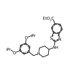 CCOC(=O)c1ccc2nc(NC3CCN(Cc4cc(OC(C)C)cc(OC(C)C)c4)CC3)sc2c1